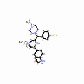 CC(=O)O.CN1CCN(C(c2ccc(F)cc2)c2cncc(-c3ccc4[nH]ccc4c3)n2)CC1